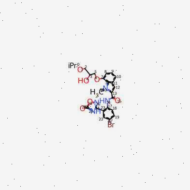 CC(C)OCC(O)COc1cccc2cc(C(=O)Nc3ccc(Br)cc3-c3noc(=O)[nH]3)n(C)c12